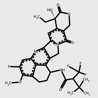 CC[C@@]1(O)C(=O)OCc2c1cc1n(c2=O)Cc2c-1nc1cc(F)c(OC)c3c1c2C(NC(=O)C(C(C)(C)C)C(F)(F)F)CC3